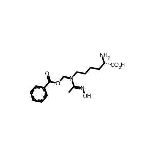 C/C(=N\O)N(CCCC[C@H](N)C(=O)O)COC(=O)c1ccccc1